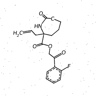 C=CCC1(C(=O)OCC(=O)c2ccccc2F)CCCCC(=O)N1